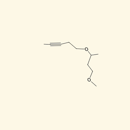 CC#CCCOC(C)CCOC